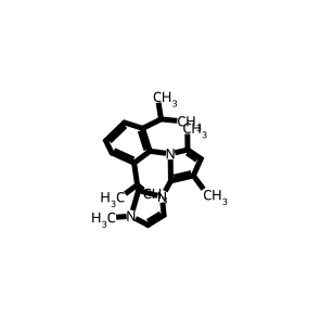 Cc1cc(C)n(-c2c(C(C)C)cccc2C(C)C)c1N1C=CN(C)C1